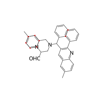 Cc1ccc2nc(-c3ccccc3)c(C(c3ccccc3)N(Cc3ccccc3)CC(C=O)N3CCC(C)CC3)cc2c1